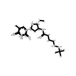 CC[C@H]1O[C@@H](n2cc(C)c(=O)[nH]c2=O)CC1OC(=O)CCCSSC(C)(C)C